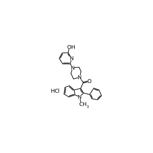 Cl.Cn1c(-c2ccccc2)c(C(=O)N2CCN(c3cccc(O)n3)CC2)c2ccccc21